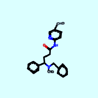 O=Cc1ccc(NC(=O)CCC(c2ccccc2)N(C=O)Cc2ccccc2)nc1